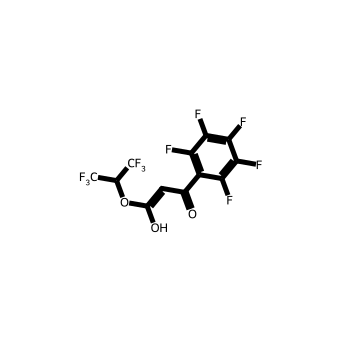 O=C(/C=C(\O)OC(C(F)(F)F)C(F)(F)F)c1c(F)c(F)c(F)c(F)c1F